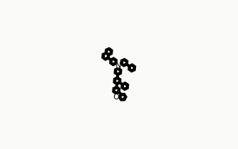 c1ccc(-c2cccc(N(c3ccc(-c4ccc(-c5ccc6oc7ccccc7c6c5)c(-c5ccccc5)c4)cc3)c3ccc(-c4cccc5ccccc45)cc3)c2)cc1